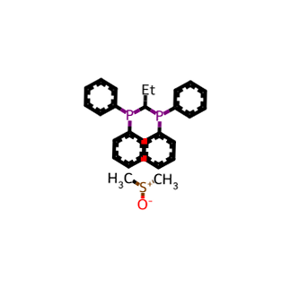 CCC(P(c1ccccc1)c1ccccc1)P(c1ccccc1)c1ccccc1.C[S+](C)[O-]